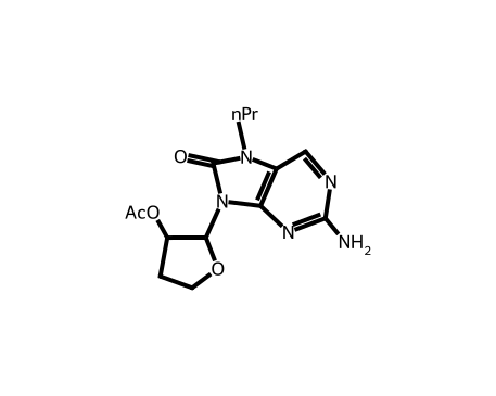 CCCn1c(=O)n(C2OCCC2OC(C)=O)c2nc(N)ncc21